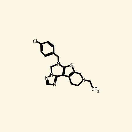 FC(F)(F)CN1CCc2c(sc3c2-c2ncnn2CN3Cc2ccc(Cl)cc2)C1